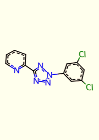 Clc1cc(Cl)cc(-n2nnc(-c3ccccn3)n2)c1